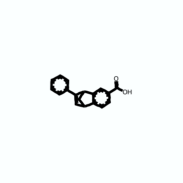 O=C(O)c1ccc2c(c1)C1CC2C=C1c1ccccc1